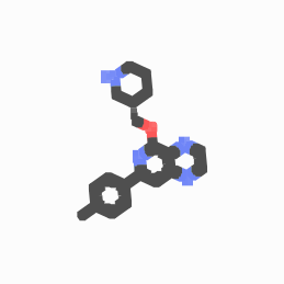 Cc1ccc(-c2cc3nccnc3c(OC[C@H]3CCCNC3)n2)cc1